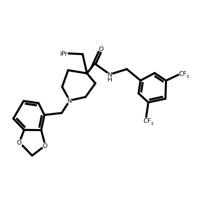 CC(C)CC1(C(=O)NCc2cc(C(F)(F)F)cc(C(F)(F)F)c2)CCN(Cc2cccc3c2OCO3)CC1